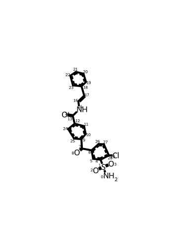 NS(=O)(=O)c1cc(C(=O)c2ccc(C(=O)NC=Cc3ccccc3)cc2)ccc1Cl